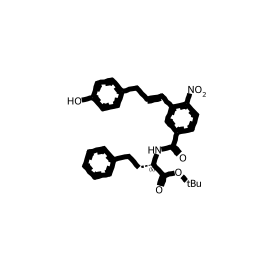 CC(C)(C)OC(=O)[C@H](CCc1ccccc1)NC(=O)c1ccc([N+](=O)[O-])c(C=CCc2ccc(O)cc2)c1